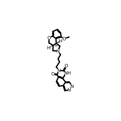 COc1cccc2c1[C@@H]1CN(CCCCn3c(=O)[nH]c4c(ccc5cnncc54)c3=O)C[C@H]1CO2